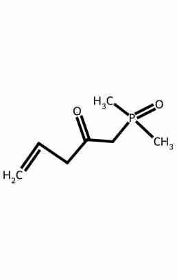 C=CCC(=O)CP(C)(C)=O